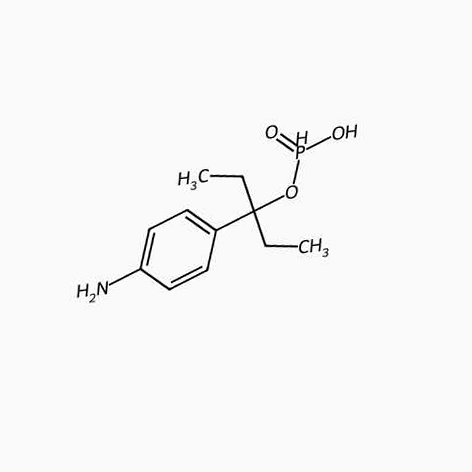 CCC(CC)(O[PH](=O)O)c1ccc(N)cc1